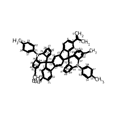 C=C(C)c1ccc2c(c1)C1(c3cc4c(cc3-2)C2(c3cc(C(C)(C)C)ccc3-4)c3ccccc3N(c3ccc(C)cc3)c3ccc(C)cc32)c2ccccc2N(c2ccc(C)cc2)c2cc(C)ccc21